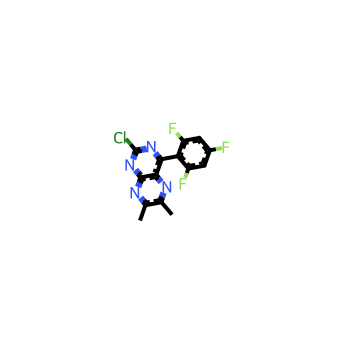 Cc1nc2nc(Cl)nc(-c3c(F)cc(F)cc3F)c2nc1C